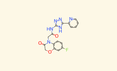 O=C(CN1C(=O)COc2cc(F)ccc21)Nc1nnc(-c2ccccn2)[nH]1